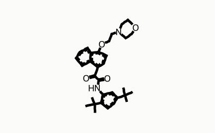 CC(C)(C)c1ccc(C(C)(C)C)c(NC(=O)C(=O)c2ccc(OCCN3CCOCC3)c3ccccc23)c1